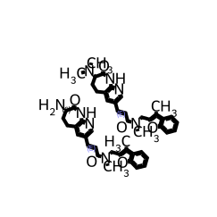 Cc1c(CN(C)C(=O)/C=C/c2cnc3c(c2)CCC(N(C)C)C(=O)N3)oc2ccccc12.Cc1c(CN(C)C(=O)/C=C/c2cnc3c(c2)CC[C@H](N)C(=O)N3)oc2ccccc12